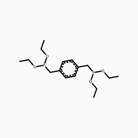 CCOP(Cc1ccc(CP(OCC)OCC)cc1)OCC